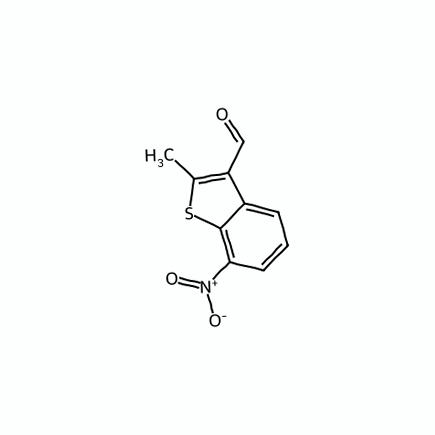 Cc1sc2c([N+](=O)[O-])cccc2c1C=O